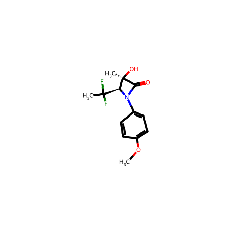 COc1ccc(N2C(=O)[C@](C)(O)[C@@H]2C(C)(F)F)cc1